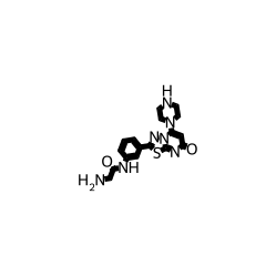 NCC(=O)Nc1cccc(-c2nn3c(N4CCNCC4)cc(=O)nc3s2)c1